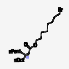 CCCCCCCC/C(=C/C(=O)OCCCCCCCCBr)CCCCC